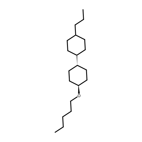 CCCCCO[C@H]1CC[C@H](C2CCC(CCC)CC2)CC1